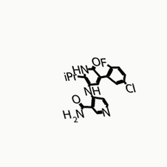 CC(C)c1[nH]c(=O)c(-c2cc(Cl)ccc2F)cc1Nc1ccncc1C(N)=O